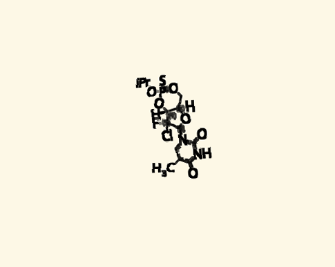 Cc1cn([C@@H]2O[C@@H]3CO[P@@](=S)(OC(C)C)O[C@H]3[C@]2(F)Cl)c(=O)[nH]c1=O